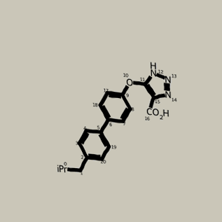 CC(C)Cc1ccc(-c2ccc(Oc3[nH]nnc3C(=O)O)cc2)cc1